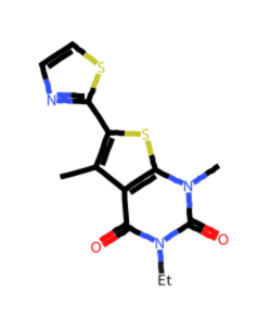 CCn1c(=O)c2c(C)c(-c3nccs3)sc2n(C)c1=O